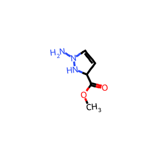 COC(=O)C1C=CN(N)N1